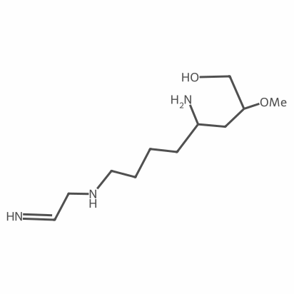 COC(CO)CC(N)CCCCNCC=N